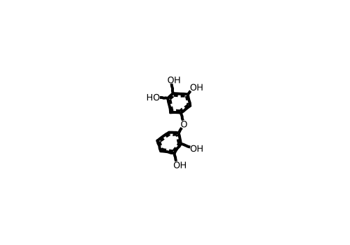 Oc1cc(Oc2cccc(O)c2O)cc(O)c1O